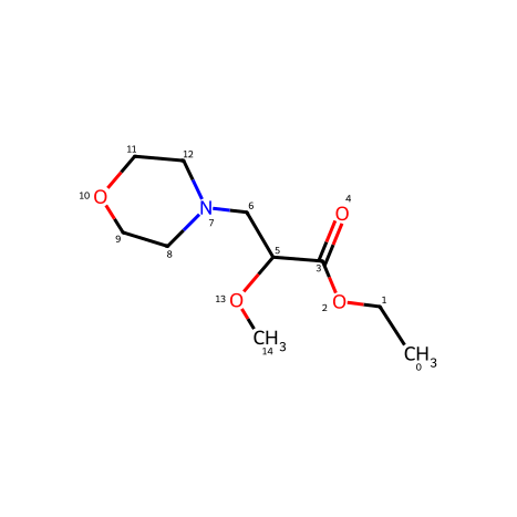 CCOC(=O)C(CN1CCOCC1)OC